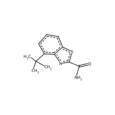 CC(C)(C)c1cccc2sc(C(N)=O)nc12